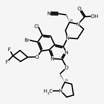 CN1CCC[C@H]1COc1nc(N2CCN(C(=O)O)[C@@H](CC#N)C2)c2cc(Cl)c(Br)c(OC3CC(F)(F)C3)c2n1